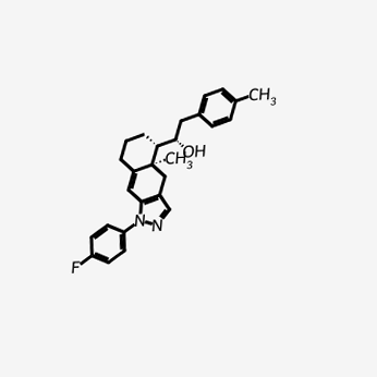 Cc1ccc(C[C@H](O)[C@H]2CCCC3=Cc4c(cnn4-c4ccc(F)cc4)C[C@@]32C)cc1